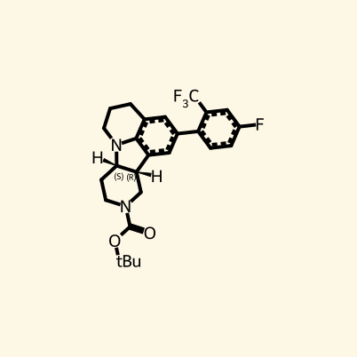 CC(C)(C)OC(=O)N1CC[C@H]2[C@@H](C1)c1cc(-c3ccc(F)cc3C(F)(F)F)cc3c1N2CCC3